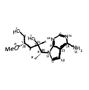 CO[C@H](CO)C[C@](C)(O)[C@@H](C)n1ccc2c(N)ncnc21